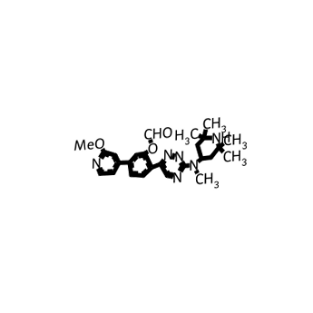 COc1cc(-c2ccc(-c3cnc(N(C)C4CC(C)(C)NC(C)(C)C4)nn3)c(OC=O)c2)ccn1